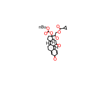 CCCCOC(=O)O[C@]1(C(=O)COC(=O)C2CC2)CC[C@H]2[C@@H]3CCC4=CC(=O)C=C[C@]4(C)[C@H]3C(=O)C[C@@]21C